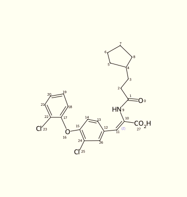 O=C(CCC1CCCC1)N/C(=C\c1ccc(Oc2ccccc2Cl)c(Cl)c1)C(=O)O